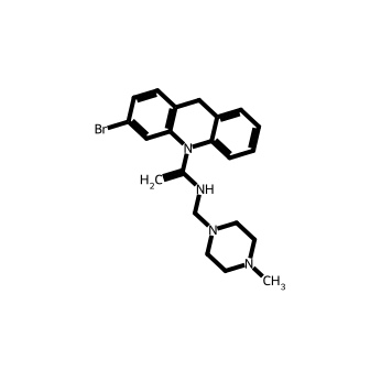 C=C(NCN1CCN(C)CC1)N1c2ccccc2Cc2ccc(Br)cc21